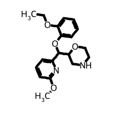 CCOc1ccccc1OC(c1cccc(OC)n1)C1CNCCO1